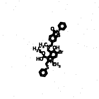 CCOC(O)c1c(CSc2ccccc2)n(C)c2cc(Br)c(O)c(CN(C)Cc3ccc4c(=O)n(-c5ccccc5)sc4c3)c12